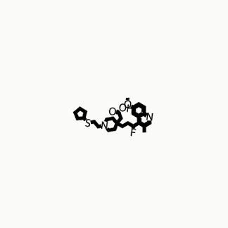 COc1ccc2ncc(C)c(C(F)CCC3(CC(=O)O)CCN(CCSC4CCCC4)CC3)c2c1